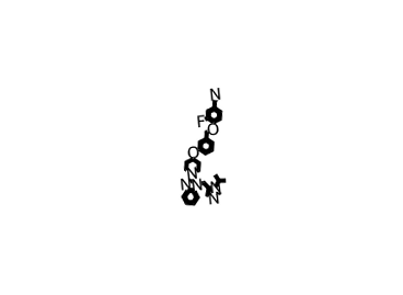 CC(C)n1cncc1Cn1c(N2CCC(Oc3cccc(COc4ccc(C#N)cc4F)c3)CC2)nc2ccccc21